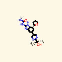 CCNC(=O)Nc1nc2cc(-c3cnc(C(C)(C)O)nc3)cc([C@H]3CCCO3)c2[nH]1